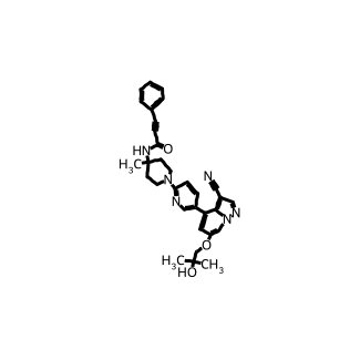 CC(C)(O)COc1cc(-c2ccc(N3CCC(C)(NC(=O)C#Cc4ccccc4)CC3)nc2)c2c(C#N)cnn2c1